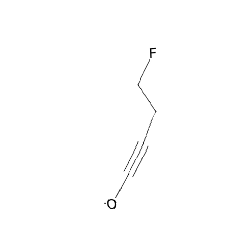 [O]C#CCCF